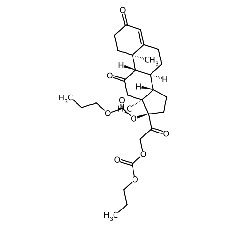 CCCOC(=O)OCC(=O)[C@@]1(OC(=O)OCCC)CC[C@H]2[C@@H]3CCC4=CC(=O)CC[C@]4(C)[C@H]3C(=O)C[C@@]21C